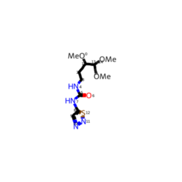 COC(CCNC(=O)Nc1cnns1)C(OC)OC